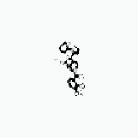 O=C(c1cccc(C(F)(F)F)c1Cl)N1CCc2c(nc(C(F)(F)F)nc2-c2ccnn2C2CCCCO2)C1